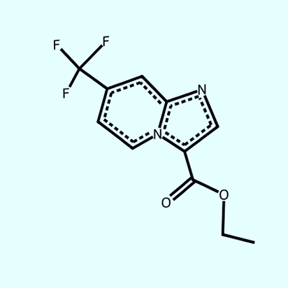 CCOC(=O)c1cnc2cc(C(F)(F)F)ccn12